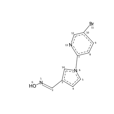 ON=Cc1ccn(-c2ccc(Br)cn2)c1